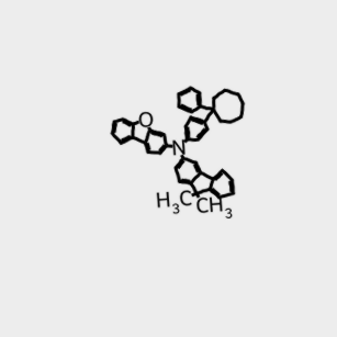 CC1(C)c2ccccc2-c2cc(N(c3ccc(C4(c5ccccc5)CCCCCCC4)cc3)c3ccc4c(c3)oc3ccccc34)ccc21